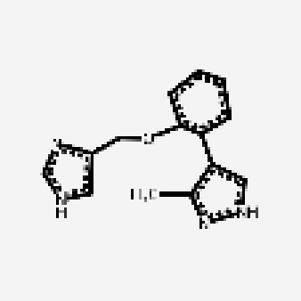 Cc1n[nH]cc1-c1ccccc1OCc1c[nH]cn1